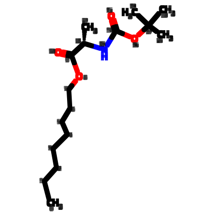 CCCCCCCCOC(=O)[C@H](C)NC(=O)OC(C)(C)C